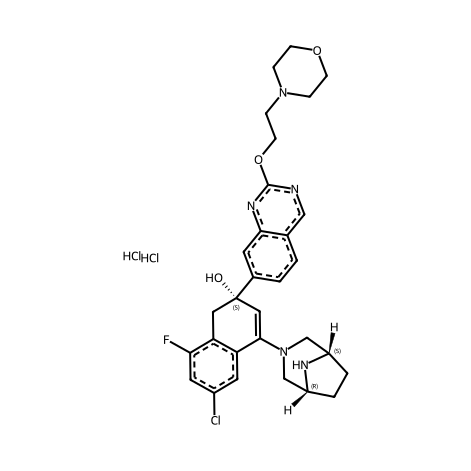 Cl.Cl.O[C@]1(c2ccc3cnc(OCCN4CCOCC4)nc3c2)C=C(N2C[C@H]3CC[C@@H](C2)N3)c2cc(Cl)cc(F)c2C1